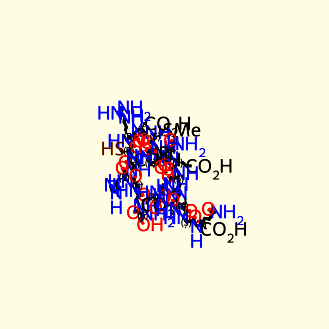 CSCC[C@H](NC(=O)[C@H](CC(=O)O)NC(=O)[C@H](CCCNC(=N)N)NC(=O)[C@H](CS)NC(=O)[C@H](CC(=O)O)NC(=O)[C@H](Cc1c[nH]cn1)NC(=O)[C@H](C)NC(=O)CNC(=O)[C@@H](N)CO)C(=O)N[C@H](C(=O)N[C@@H](C)C(=O)N[C@@H](CCC(N)=O)C(=O)N[C@@H](CCC(=O)O)C(=O)N[C@@H](Cc1c[nH]cn1)C(=O)NCC(=O)N[C@@H](CC(=O)O)C(=O)NCC(=O)N[C@@H](C)C(=O)N[C@@H](C)C(=O)N[C@@H](CCC(N)=O)C(=O)O)C(C)C